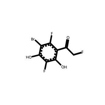 O=C(CF)c1c(O)c(F)c(O)c(Br)c1F